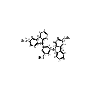 CC(C)(C)c1cc(-n2c3ccccc3c3cc(C(C)(C)C)ccc32)cc(-n2c3ccccc3c3cc(C(C)(C)C)ccc32)c1